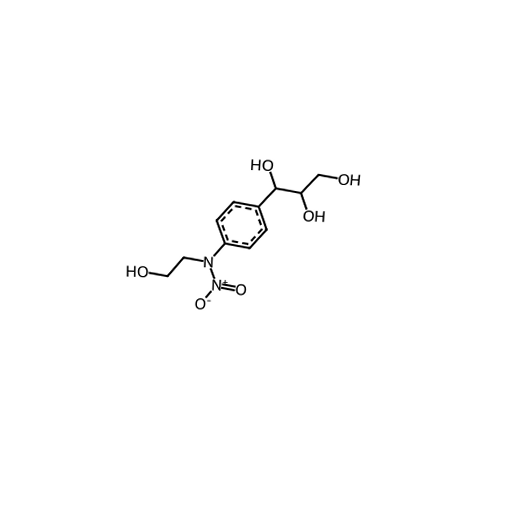 O=[N+]([O-])N(CCO)c1ccc(C(O)C(O)CO)cc1